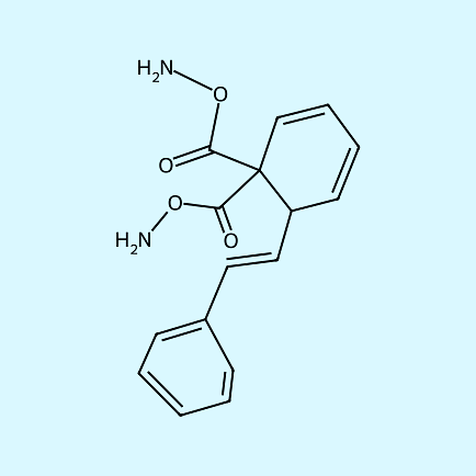 NOC(=O)C1(C(=O)ON)C=CC=CC1C=Cc1ccccc1